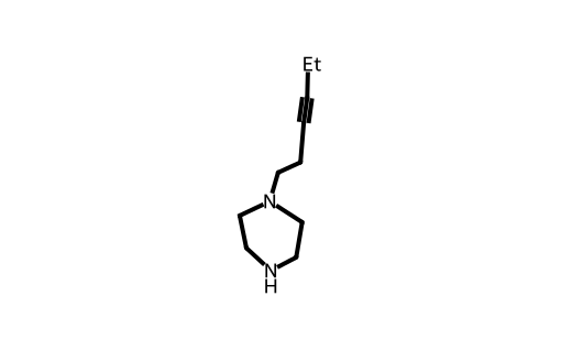 CCC#CCCN1CCNCC1